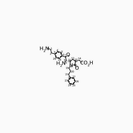 NCCc1ccc(C(=O)C(N)[C@@H]2C[C@@H](CC(=O)O)C(=O)N2CCCc2ccccc2)cc1